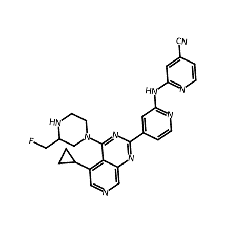 N#Cc1ccnc(Nc2cc(-c3nc(N4CCNC(CF)C4)c4c(C5CC5)cncc4n3)ccn2)c1